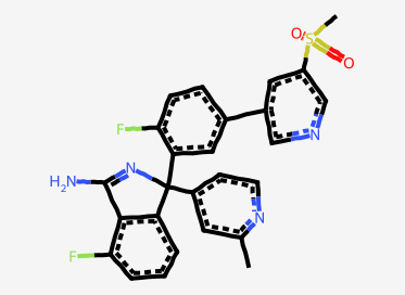 Cc1cc(C2(c3cc(-c4cncc(S(C)(=O)=O)c4)ccc3F)N=C(N)c3c(F)cccc32)ccn1